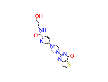 Cn1c(N2CCN(c3ccc(C(=O)NCCCO)nc3)CC2)nc(=O)c2sccc21